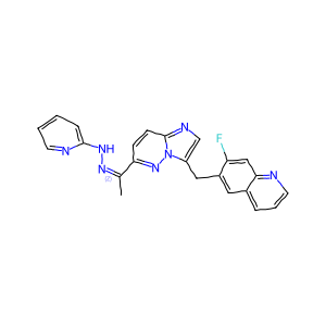 C/C(=N/Nc1ccccn1)c1ccc2ncc(Cc3cc4cccnc4cc3F)n2n1